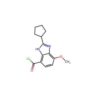 COc1ccc(C(=O)Cl)c2[nH]c(C3CCCC3)nc12